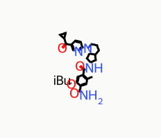 CCC(C)Oc1cc(C(=O)NC2CC3CCCN(c4ccc(C(=O)C5CC5)cn4)C3C2)c(C)cc1C(N)=O